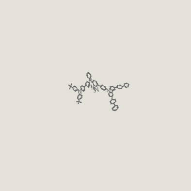 CC(C)(C)c1ccc(N(c2ccc(-c3ccc(N(c4ccccc4)c4ccc(-c5ccc(-n6c7ccc(-c8ccc(-c9ccccc9)cc8)cc7c7cc(-c8ccc(-c9ccccc9)cc8)ccc76)cc5)c5nsnc45)cc3)cc2)c2ccc(C(C)(C)C)cc2)cc1